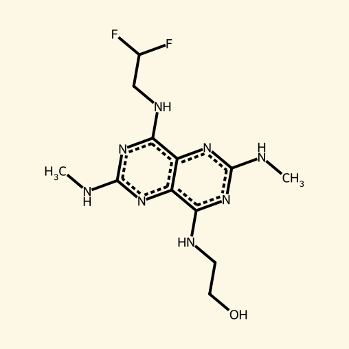 CNc1nc(NCC(F)F)c2nc(NC)nc(NCCO)c2n1